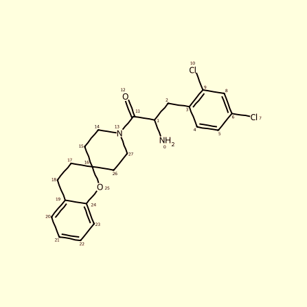 NC(Cc1ccc(Cl)cc1Cl)C(=O)N1CCC2(CCc3ccccc3O2)CC1